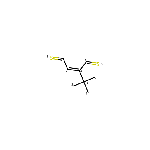 CC(C)(C)/C(C=S)=C/C=S